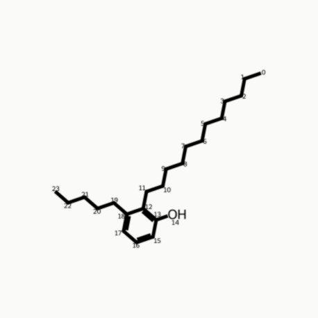 CCCCCCCCCCCCc1c(O)cccc1CCCCC